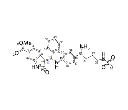 COC(=O)c1ccc2c(c1)NC(=O)/C2=C(\Nc1ccc(C(N)CCCNS(C)(=O)=O)cc1)c1ccccc1